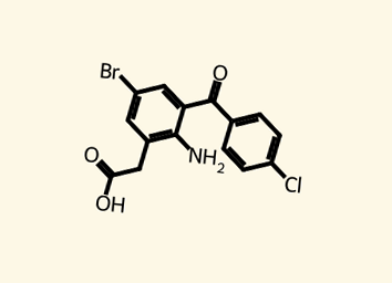 Nc1c(CC(=O)O)cc(Br)cc1C(=O)c1ccc(Cl)cc1